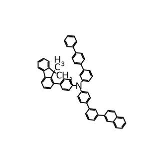 CC1(C)c2ccccc2-c2cccc(-c3ccc(N(c4ccc(-c5cccc(-c6ccc7ccccc7c6)c5)cc4)c4cccc(-c5ccc(-c6ccccc6)cc5)c4)cc3)c21